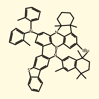 Cc1cc2c(cc1N1B3c4cc(C(C)(C)C)cc5c4N(c4cc(N(c6ccccc6C)c6ccccc6C)cc(c43)-c3cc4sc6ccccc6c4cc31)C1(C)CCCCC51C)C(C)(C)CCC2(C)C